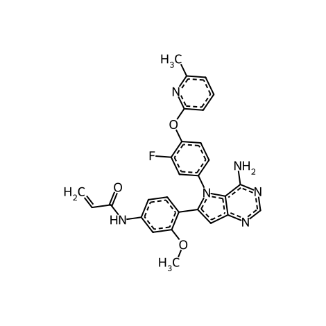 C=CC(=O)Nc1ccc(-c2cc3ncnc(N)c3n2-c2ccc(Oc3cccc(C)n3)c(F)c2)c(OC)c1